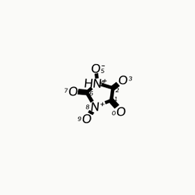 O=C1C(=O)[NH+]([O-])C(=O)[N+]1=O